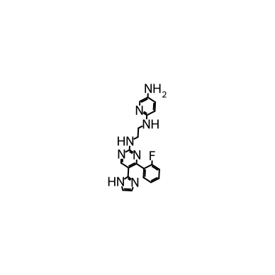 Nc1ccc(NCCNc2ncc(-c3ncc[nH]3)c(-c3ccccc3F)n2)nc1